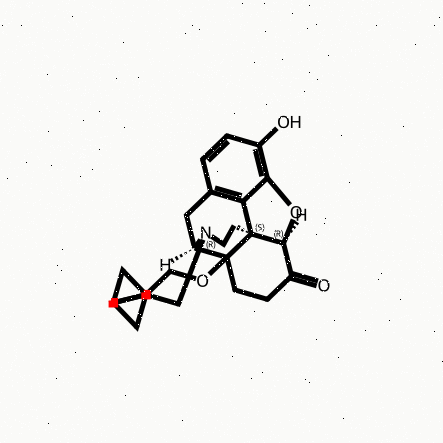 O=C1CCC2(OCC3CC3)[C@H]3Cc4ccc(O)c5c4[C@@]2(CCN3CC2CC2)[C@H]1O5